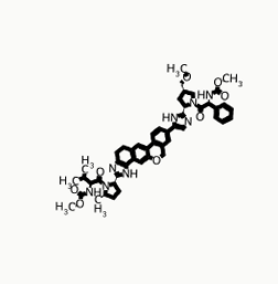 COC[C@H]1C[C@@H](c2ncc(-c3ccc4c(c3)COc3cc5c(cc3-4)CCc3nc([C@@H]4CC[C@H](C)N4C(=O)[C@@H](NC(=O)OC)C(C)C)[nH]c3-5)[nH]2)N(C(=O)[C@H](NC(=O)OC)c2ccccc2)C1